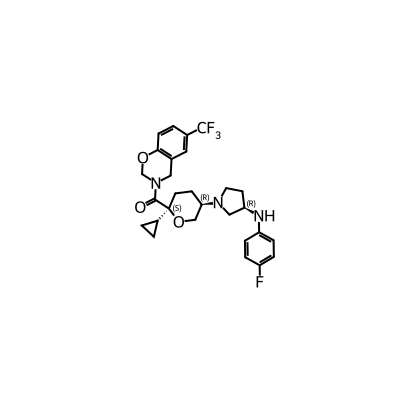 O=C(N1COc2ccc(C(F)(F)F)cc2C1)[C@@]1(C2CC2)CC[C@@H](N2CC[C@@H](Nc3ccc(F)cc3)C2)CO1